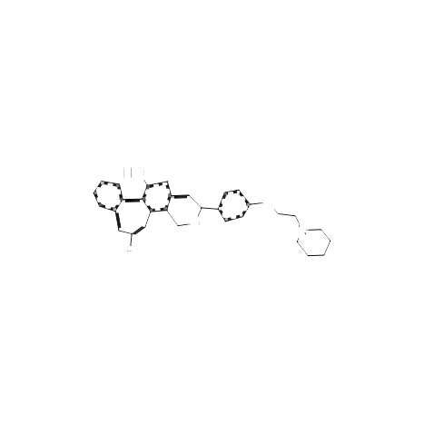 Oc1cc2c(c3c1=c1ccccc1=CC(F)=C3)COC(c1ccc(OCCN3CCCCC3)cc1)C=2